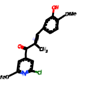 COc1cc(C(=O)/C(C)=C/c2ccc(OC)c(O)c2)cc(Cl)n1